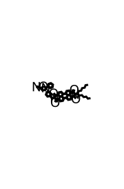 CCCCCCC(CCCCCC)N1C(=O)c2ccc3c4ccc5c6c(ccc(c7ccc(c2c37)C1=O)c64)C(=O)N(Cc1ccc([C@@H]2CC(C#N)ON2c2ccccc2)cc1)C5=O